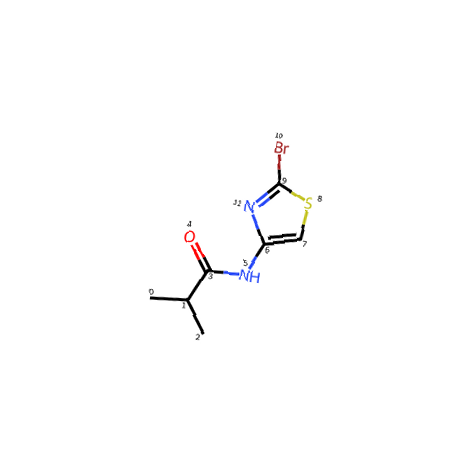 CC(C)C(=O)Nc1csc(Br)n1